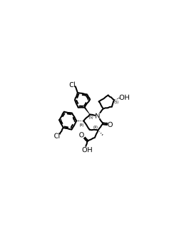 C[C@]1(CC(=O)O)C[C@H](c2cccc(Cl)c2)[C@@H](c2ccc(Cl)cc2)N(C2CC[C@H](O)C2)C1=O